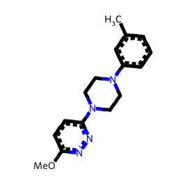 COc1ccc(N2CCN(c3cccc(C)c3)CC2)nn1